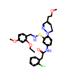 CCOc1cc(OC)ccc1CNSc1cc(NC(=O)Cc2ccccc2Cl)ccc1N1CC=C(CCOC)C=N1